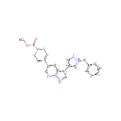 CC(C)(C)OC(=O)N1CC=C(c2cnc3[nH]cc(-c4cnn(Cc5ccccc5)c4)c3c2)CC1